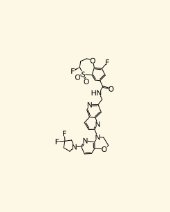 O=C(NCc1cc2nc(N3CCOc4ccc(N5CCC(F)(F)C5)nc43)ccc2cn1)c1cc(F)c2c(c1)S(=O)(=O)[C@@H](F)CCO2